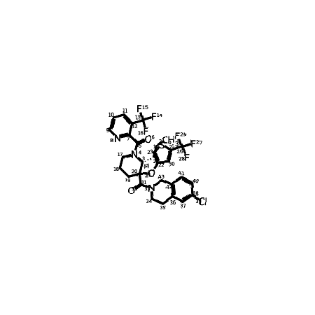 CCC[C@H]1N(C(=O)c2ncccc2C(F)(F)F)CCCC1(Oc1csc(C(F)(F)F)c1)C(=O)N1CCc2cc(Cl)ccc2C1